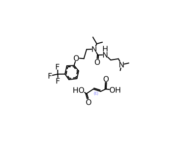 CC(C)N(CCOc1cccc(C(F)(F)F)c1)C(=O)NCCN(C)C.O=C(O)/C=C/C(=O)O